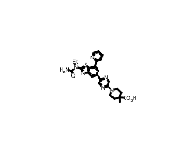 CCN(C(N)=O)c1nc2cc(-c3cnc(N4CCC(C)(C(=O)O)CC4)cn3)cc(-c3ccccn3)c2s1